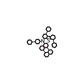 c1ccc(-c2ccc(N(c3ccc(-c4cccc5cccc(-c6ccccc6)c45)cc3)c3ccc(-c4ccccc4)c4c3sc3c(-c5ccccc5)cccc34)cc2)cc1